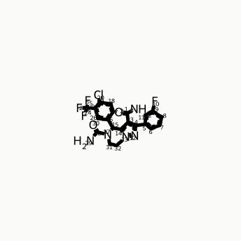 NC(=O)c1c(-c2cccc(F)c2)nn2c1C(c1ccc(Cl)c(C(F)(F)F)c1)N(C(N)=O)CC2